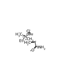 C=CC(N)=O.CCCC[N+](C)(C)CC.[Cl-]